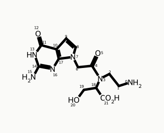 NCCN(C(=O)Cn1ccc2c(=O)[nH]c(N)nc21)C(CO)C(=O)O